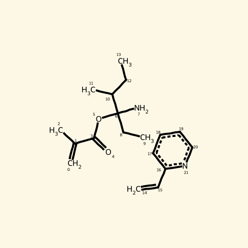 C=C(C)C(=O)OC(N)(CC)C(C)CC.C=Cc1ccccn1